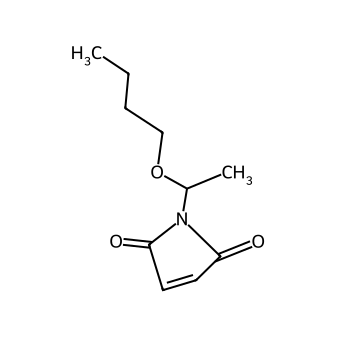 CCCCOC(C)N1C(=O)C=CC1=O